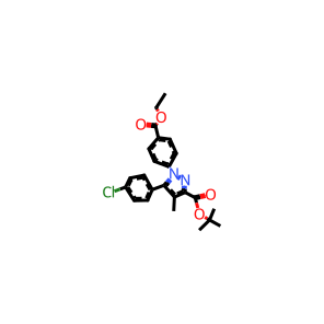 CCOC(=O)c1ccc(-n2nc(C(=O)OC(C)(C)C)c(C)c2-c2ccc(Cl)cc2)cc1